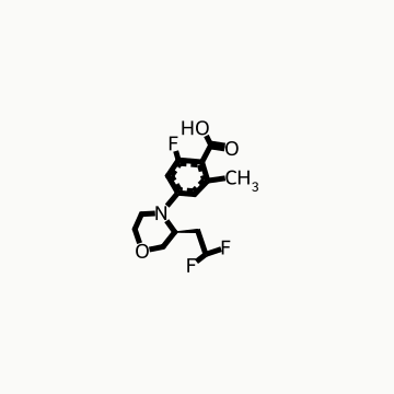 Cc1cc(N2CCOC[C@@H]2CC(F)F)cc(F)c1C(=O)O